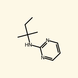 CCC(C)(C)Nc1ncccn1